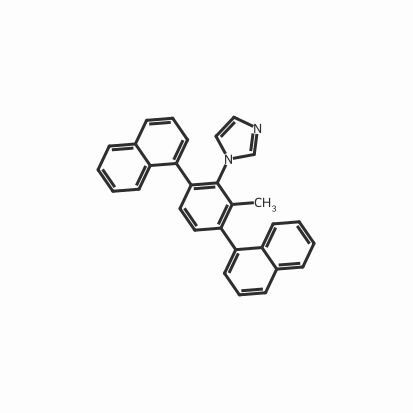 Cc1c(-c2cccc3ccccc23)ccc(-c2cccc3ccccc23)c1-n1ccnc1